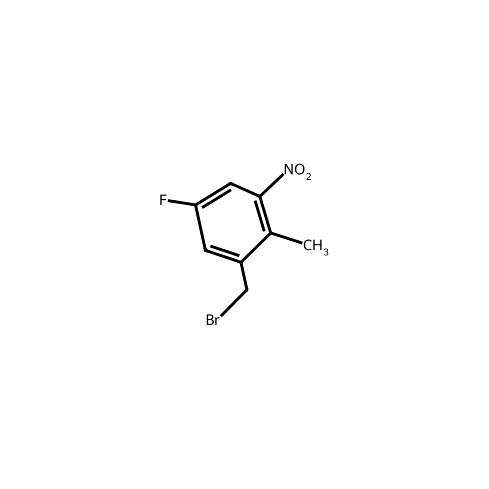 Cc1c(CBr)cc(F)cc1[N+](=O)[O-]